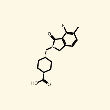 Cc1ccc2c(c1F)C(=O)N(C[C@H]1CC[C@H](C(=O)O)CC1)C2